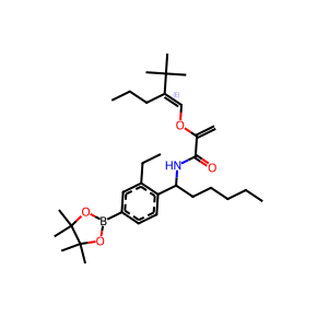 C=C(O/C=C(\CCC)C(C)(C)C)C(=O)NC(CCCCC)c1ccc(B2OC(C)(C)C(C)(C)O2)cc1CC